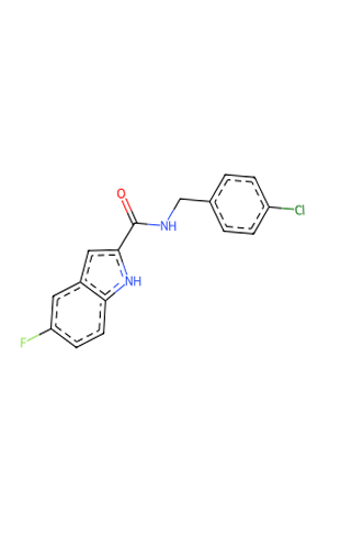 O=C(NCc1ccc(Cl)cc1)c1cc2cc(F)ccc2[nH]1